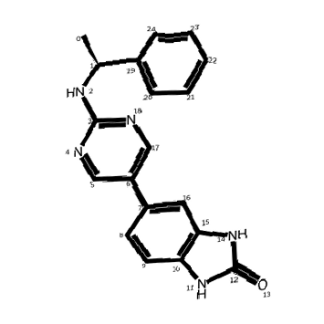 C[C@H](Nc1ncc(-c2ccc3[nH]c(=O)[nH]c3c2)cn1)c1ccccc1